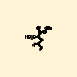 CC(C)(C)OC(=O)C(CC(F)F)C(=O)O